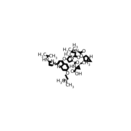 CC[C@@H]1C[C@]1(NC(=O)[C@@H]1C[C@@H](Oc2cc(-n3ccc(NC(C)C)n3)nc3cc(OCCN(C)C)ccc23)CN1C(=O)[C@@H](NC(=O)OC1CC2C[C@@H]2C1)C(C)(C)C)C(=O)O